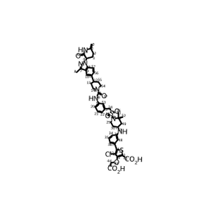 C=C1CCC(n2nc(C)c3cc(C4CCN(C(=O)Nc5cccc(CS(=O)(=O)N6CC[C@H](Nc7cccc(-c8sc(C(=O)O)c(OCC(=O)O)c8Cl)c7)CC6(C)C)c5)CC4)ccc32)C(=O)N1